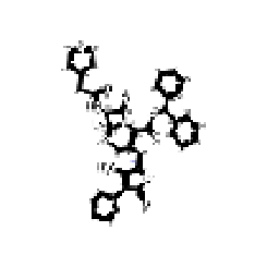 CC1=C(c2ccccc2)C(=O)O/C1=C/C1=C(C(=O)OC(c2ccccc2)c2ccccc2)N2C(=O)[C@@H](NC(=O)Cc3ccccc3)[C@@H]2SC1